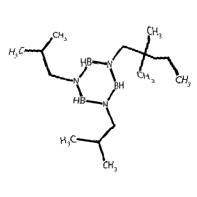 CCC(C)(C)CN1BN(CC(C)C)BN(CC(C)C)B1